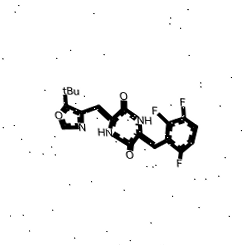 CC(C)(C)c1ocnc1/C=c1\[nH]c(=O)/c(=C/c2c(F)ccc(F)c2F)[nH]c1=O